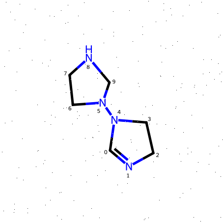 C1=NCCN1N1CCNC1